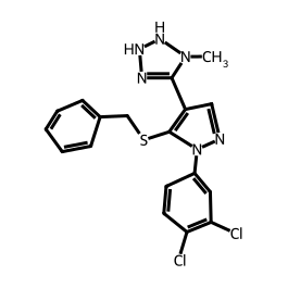 CN1NNN=C1c1cnn(-c2ccc(Cl)c(Cl)c2)c1SCc1ccccc1